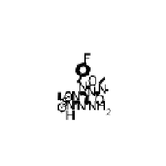 CCN(C)C(=O)n1c(=O)n(Cc2ccc(F)cc2)c2nc(NS(=O)(=O)CC)nc(N)c21